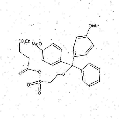 CCOC(=O)CCC(=O)OS(=O)(=O)CCOC(c1ccccc1)(c1ccc(OC)cc1)c1ccc(OC)cc1